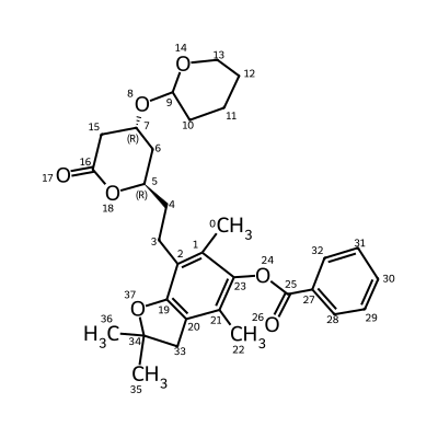 Cc1c(CC[C@@H]2C[C@@H](OC3CCCCO3)CC(=O)O2)c2c(c(C)c1OC(=O)c1ccccc1)CC(C)(C)O2